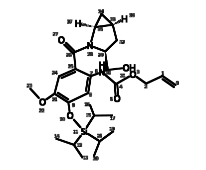 C=CCOC(=O)Nc1cc(O[Si](C(C)C)(C(C)C)C(C)C)c(OC)cc1C(=O)N1[C@H](CO)C[C@@H]2C[C@@H]21